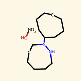 C1CCCC(N2CCCCCCN2)CCC1.O=[N+]([O-])O